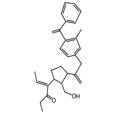 C=C(c1ccccc1)c1ccc(CC(=C)C2CCC(/C(=C\C)C(=O)CC)C2CO)cc1C